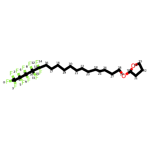 FC(F)(F)C(F)(F)C(F)(F)C(F)(F)C(F)(F)CCCCCCCCCCCCCOC1CCCO1